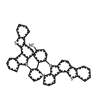 N#Cc1ccc(-n2c3ccccc3c3c4sc5ccccc5c4ccc32)c(-c2ncccc2-n2c3ccccc3c3c4sc5ccccc5c4ccc32)c1